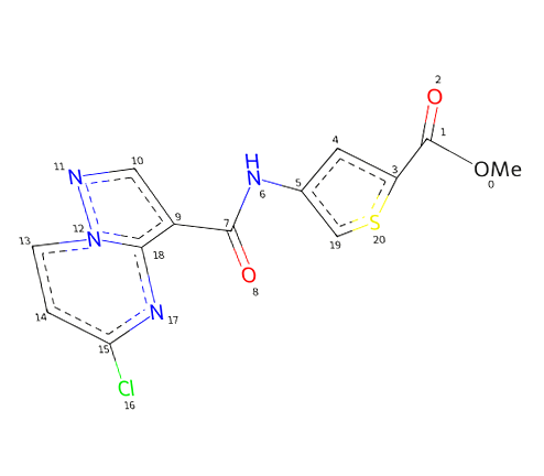 COC(=O)c1cc(NC(=O)c2cnn3ccc(Cl)nc23)cs1